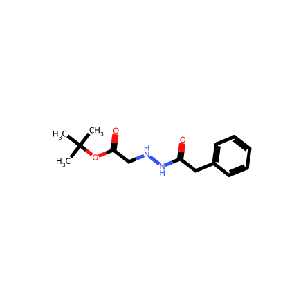 CC(C)(C)OC(=O)CNNC(=O)Cc1ccccc1